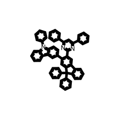 c1ccc(-c2cc(-c3ccccc3)nc(-c3cc4c(cc3-c3ccc5c(c3)c3ccccc3n5-c3ccccc3)C(c3ccccc3)(c3ccccc3)c3ccccc3-4)n2)cc1